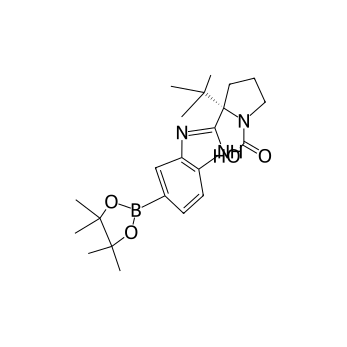 CC1(C)OB(c2ccc3[nH]c([C@@]4(C(C)(C)C)CCCN4C(=O)O)nc3c2)OC1(C)C